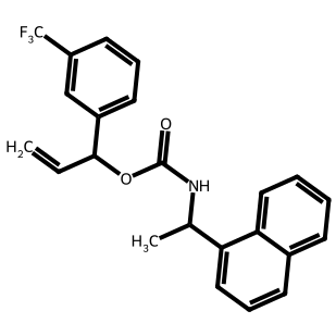 C=CC(OC(=O)NC(C)c1cccc2ccccc12)c1cccc(C(F)(F)F)c1